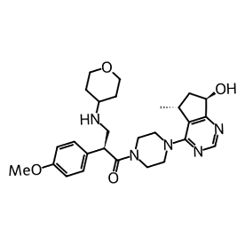 COc1ccc([C@@H](CNC2CCOCC2)C(=O)N2CCN(c3ncnc4c3[C@H](C)C[C@H]4O)CC2)cc1